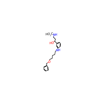 O=C(O)NCCC(O)c1cccc(NCCCCCOCc2ccccc2)c1